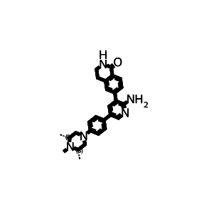 C[C@@H]1CN(c2ccc(-c3cnc(N)c(-c4ccc5c(c4)CCNC5=O)c3)cc2)C[C@H](C)N1C